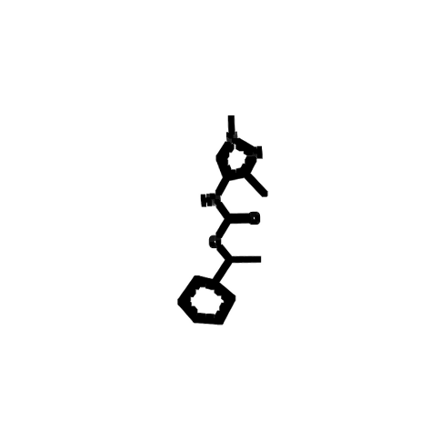 Cc1nn(C)cc1NC(=O)OC(C)c1ccccc1